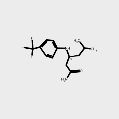 CC(C)C[C@@H](CC(N)=O)Nc1ccc(C(F)(F)F)cc1